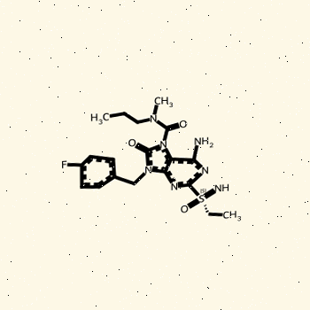 CCCN(C)C(=O)n1c(=O)n(Cc2ccc(F)cc2)c2nc([S@@](=N)(=O)CC)nc(N)c21